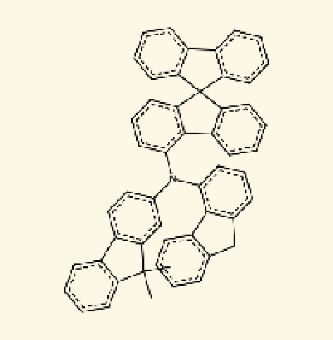 CC1(C)c2ccccc2-c2ccc(N(c3cccc4c3-c3ccccc3C4)c3cccc4c3-c3ccccc3C43c4ccccc4-c4ccccc43)cc21